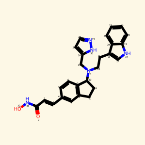 O=C(C=Cc1ccc2c(c1)CCC2N(CCc1c[nH]c2ccccc12)Cc1ccn[nH]1)NO